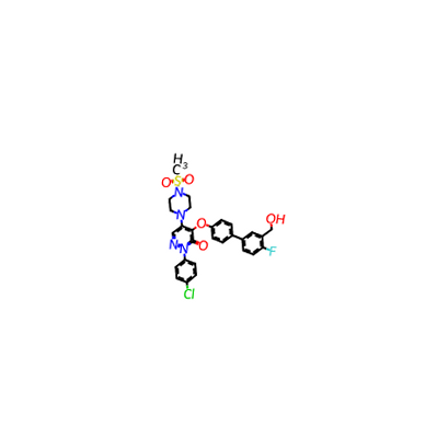 CS(=O)(=O)N1CCN(c2cnn(-c3ccc(Cl)cc3)c(=O)c2Oc2ccc(-c3ccc(F)c(CO)c3)cc2)CC1